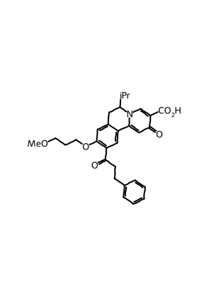 COCCCOc1cc2c(cc1C(=O)CCc1ccccc1)-c1cc(=O)c(C(=O)O)cn1C(C(C)C)C2